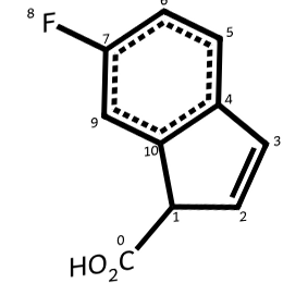 O=C(O)C1C=Cc2ccc(F)cc21